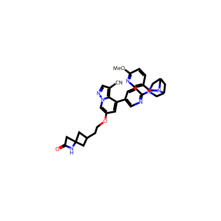 COc1ccc(CN2C3CC2CN(c2ccc(-c4cc(OCCC5CC6(CC(=O)N6)C5)cn5ncc(C#N)c45)cn2)C3)cn1